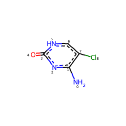 Nc1nc(=O)[nH]cc1Cl